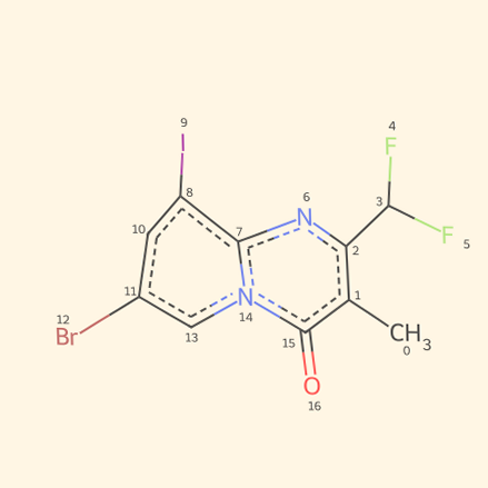 Cc1c(C(F)F)nc2c(I)cc(Br)cn2c1=O